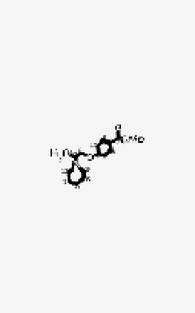 COC(=O)c1ccc(OCC(C)N2CCCCC2)cc1